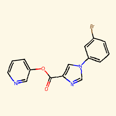 O=C(Oc1cccnc1)c1cn(-c2cccc(Br)c2)cn1